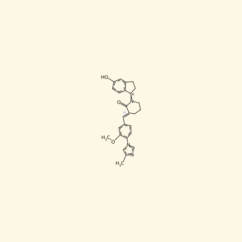 COc1cc(/C=C2\CCCN([C@@H]3CCc4cc(O)ccc43)C2=O)ccc1-n1cnc(C)c1